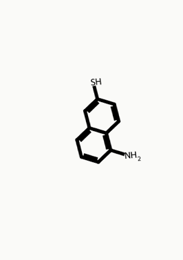 Nc1cccc2cc(S)ccc12